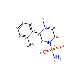 CC(C)c1ccccc1C1CN(S(N)(=O)=O)CCN1C